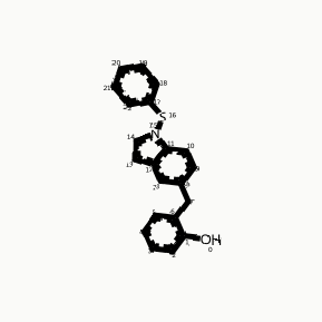 Oc1ccccc1Cc1ccc2c(ccn2Sc2ccccc2)c1